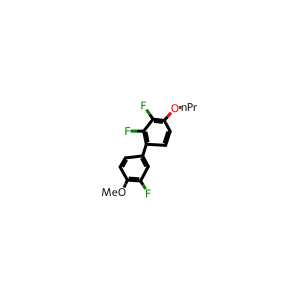 CCCOc1ccc(-c2ccc(OC)c(F)c2)c(F)c1F